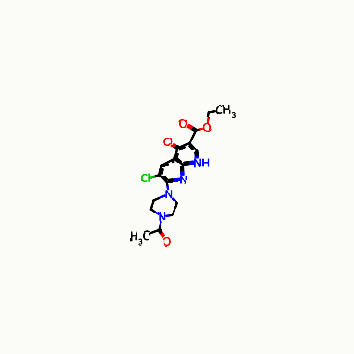 CCOC(=O)c1c[nH]c2nc(N3CCN(C(C)=O)CC3)c(Cl)cc2c1=O